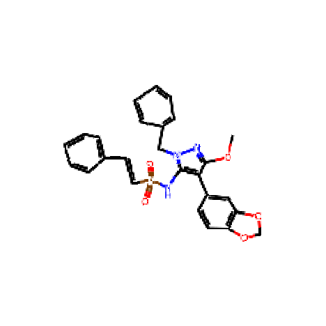 COc1nn(Cc2ccccc2)c(NS(=O)(=O)C=Cc2ccccc2)c1-c1ccc2c(c1)OCO2